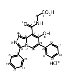 Cl.O=C(O)CNC(=O)c1c(O)c(-c2ccccc2)cn2c(-c3ccccc3)nnc12